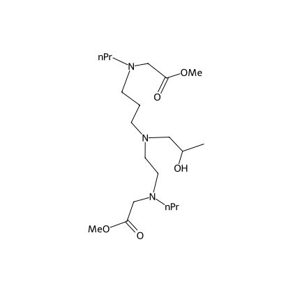 CCCN(CCCN(CCN(CCC)CC(=O)OC)CC(C)O)CC(=O)OC